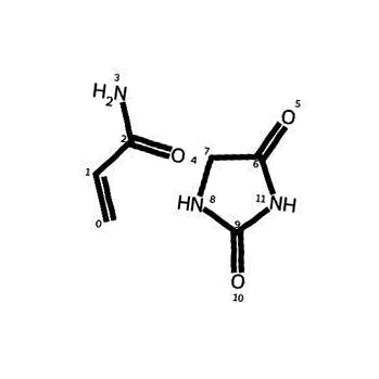 C=CC(N)=O.O=C1CNC(=O)N1